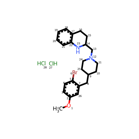 COc1ccc(Br)c(CC2CCN(CC3CCc4ccccc4N3)CC2)c1.Cl.Cl